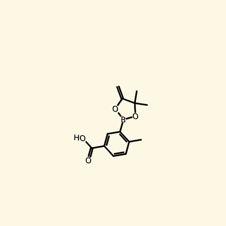 C=C1OB(c2cc(C(=O)O)ccc2C)OC1(C)C